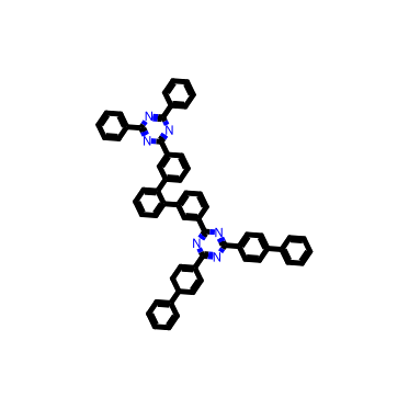 C1=CC(c2ccccc2)CC=C1c1nc(-c2ccc(-c3ccccc3)cc2)nc(-c2cccc(-c3ccccc3-c3cccc(-c4nc(-c5ccccc5)nc(-c5ccccc5)n4)c3)c2)n1